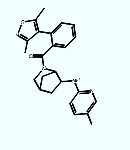 Cc1ccc(NC2CC3CC2N(C(=O)c2ccccc2-c2c(C)noc2C)C3)nc1